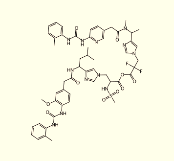 COc1cc(CC(=O)NC(CC(C)C)c2cn(CC(NS(C)(=O)=O)C(=O)OC(=O)C(F)(F)Cn3cnc(C(C)N(C)C(=O)Cc4ccc(NC(=O)Nc5ccccc5C)nc4)c3)cn2)ccc1NC(=O)Nc1ccccc1C